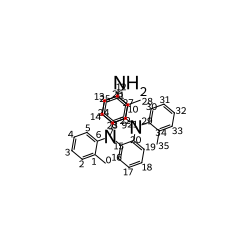 Cc1ccccc1N(c1ccc(N)cc1)c1ccccc1N(c1ccccc1C)c1ccccc1C